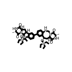 CC[Si](CC)(CC)O[C@@H]1C[C@H]2C(=O)N[C@@H](C)C(=O)N2CNc2ccc(-c3ccc4c(c3)[C@@H]3C[C@H]5C(=O)N[C@@H](C)C(=O)N5C3(O[Si](CC)(CC)CC)N4)cc21